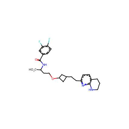 O=C(NC(CCOC1CC(CCc2ccc3c(n2)NCCC3)C1)C(=O)O)c1ccc(F)c(F)c1